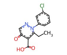 CCc1c(C(=O)O)c(=O)cnn1-c1cccc(Cl)c1